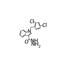 NNC(=O)c1cn(Cc2ccc(Cl)cc2Cl)c2ccccc12